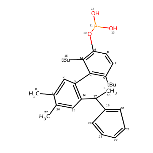 Cc1cc(-c2c(C(C)(C)C)ccc(OP(O)O)c2C(C)(C)C)c(C(C)c2ccccc2)cc1C